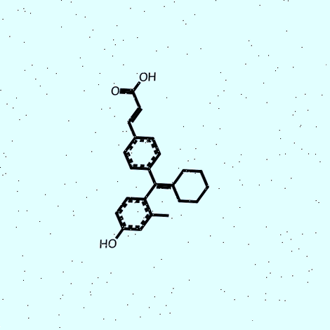 Cc1cc(O)ccc1C(=C1CCCCC1)c1ccc(C=CC(=O)O)cc1